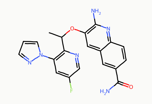 CC(Oc1cc2cc(C(N)=O)ccc2nc1N)c1ncc(F)cc1-n1cccn1